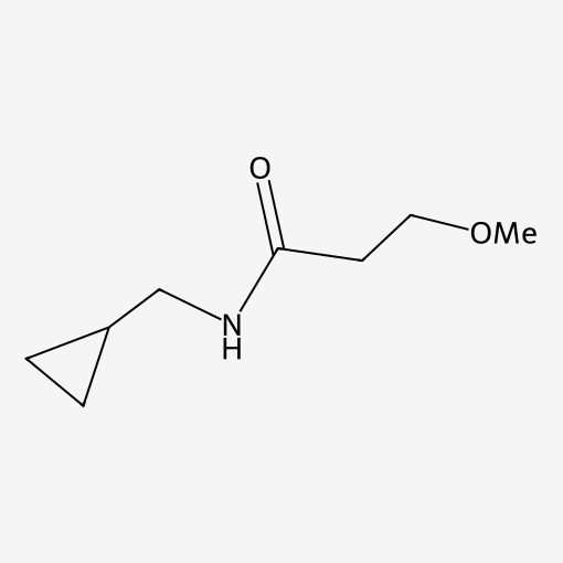 COCCC(=O)NCC1CC1